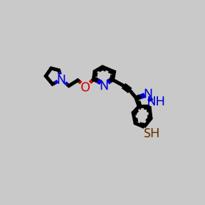 Sc1ccc2c(C#Cc3cccc(OCCN4CCCC4)n3)n[nH]c2c1